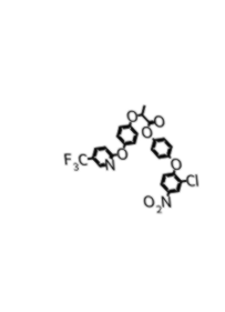 CC(Oc1ccc(Oc2ccc(C(F)(F)F)cn2)cc1)C(=O)Oc1ccc(Oc2ccc([N+](=O)[O-])cc2Cl)cc1